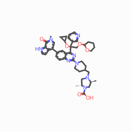 C[C@@H]1CN(CC2CCN(c3nc(C(COC4CCCCO4)(OC4CC4)c4cccnc4)c4cc(-c5cn(C)c(=O)c6[nH]ccc56)ccc4n3)CC2)[C@@H](C)CN1C(=O)O